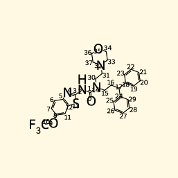 O=C(Nc1nc2ccc(OC(F)(F)F)cc2s1)N(CCC(c1ccccc1)c1ccccc1)CCN1CCOCC1